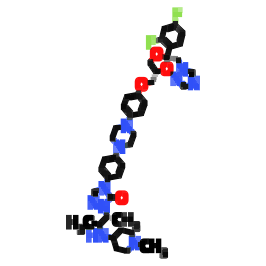 C[C@H](NC1CCN(C)CC1)[C@@H](C)n1ncn(-c2ccc(N3CCN(c4ccc(OC[C@@H]5CO[C@@](Cn6cncn6)(c6ccc(F)cc6F)O5)cc4)CC3)cc2)c1=O